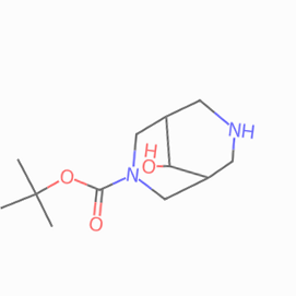 CC(C)(C)OC(=O)N1CC2CNCC(C1)C2O